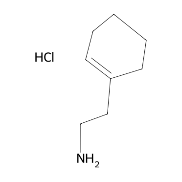 Cl.NCCC1=CCCCC1